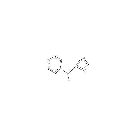 CC(c1ccccc1)c1cncs1